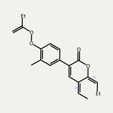 C=C(CC)OOc1ccc(-c2cc(=C/C)/c(=C\CC)oc2=O)cc1C